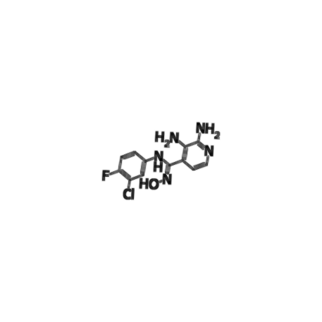 Nc1nccc(/C(=N/O)Nc2ccc(F)c(Cl)c2)c1N